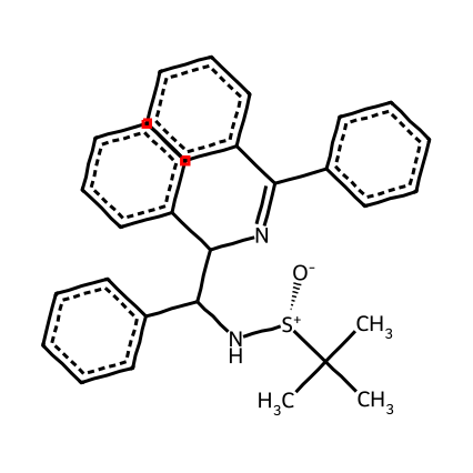 CC(C)(C)[S@@+]([O-])NC(c1ccccc1)C(N=C(c1ccccc1)c1ccccc1)c1ccccc1